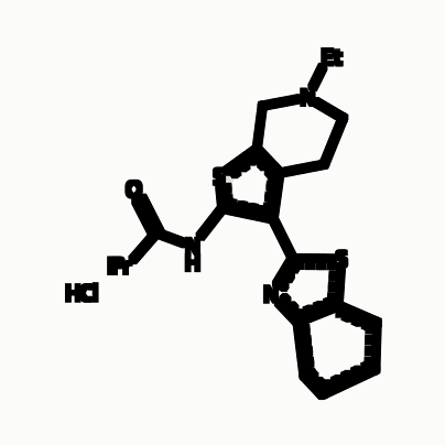 CCN1CCc2c(sc(NC(=O)C(C)C)c2-c2nc3ccccc3s2)C1.Cl